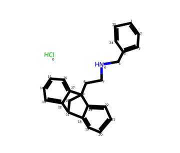 Cl.c1ccc(CNCCC23CC(c4ccccc42)c2ccccc23)cc1